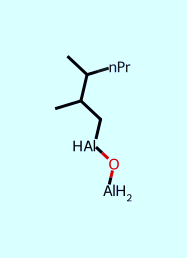 CCCC(C)C(C)[CH2][AlH][O][AlH2]